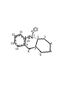 ClN[C@@H]1CCCC[C@H]1Cc1ccccc1